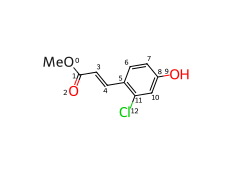 COC(=O)/C=C/c1ccc(O)cc1Cl